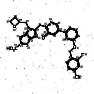 N#Cc1ccc(COc2cccc(-c3cnn(Cc4nc5sc(C(=O)O)cc5n4C[C@@H]4CCO4)c(=O)c3)n2)c(F)c1